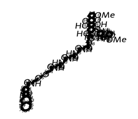 COc1cccc2c1C(=O)c1c(O)c3c(c(O)c1C2=O)C[C@@](O)(c1csc(CN(C)C(=O)CNC(=O)CNC(=O)CNC(=O)CNC(=O)CNC(=O)CCOCCOCCNC(=O)c2ccc4nc5c(nc4c2)CSC2CCCCCCC(C2)SC5)n1)C[C@@H]3O[C@H]1C[C@H]2[C@H](O[C@@H]3[C@@H](OC)OCCN32)[C@H](C)O1